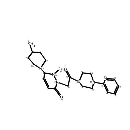 CC1CCN(C2C=CC(=O)N(CC(=O)N3CCN(c4ccccn4)CC3)N2C)CC1